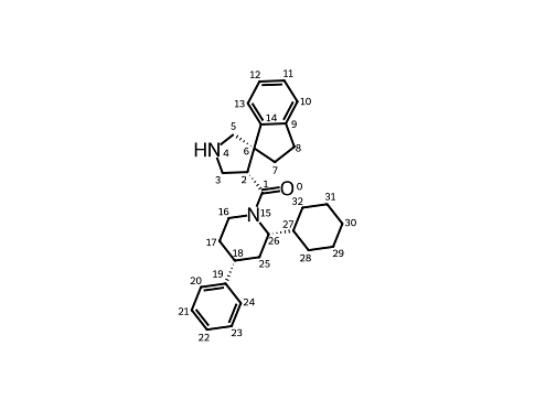 O=C([C@@H]1CNC[C@]12CCc1ccccc12)N1CC[C@@H](c2ccccc2)C[C@H]1C1CCCCC1